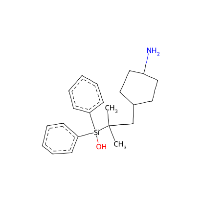 CC(C)(CC1CCC(N)CC1)[Si](O)(c1ccccc1)c1ccccc1